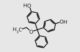 CCOC(c1ccccc1)(c1ccc(O)cc1)c1ccc(O)cc1